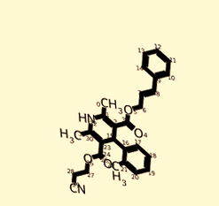 CC1=C(C(=O)OC/C=C/c2ccccc2)C(c2ccccc2C)C(C(=O)OCCC#N)=C(C)N1